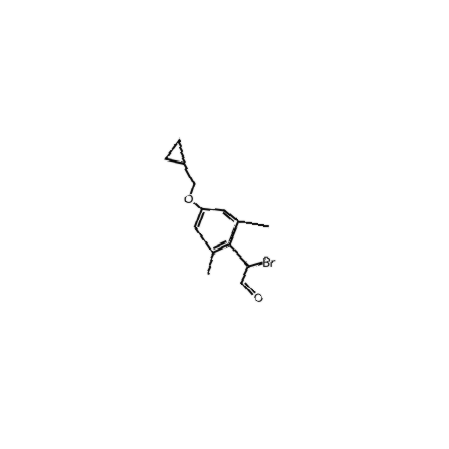 Cc1cc(OCC2CC2)cc(C)c1C(Br)C=O